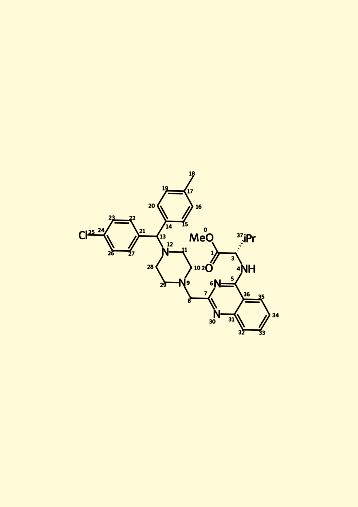 COC(=O)[C@@H](Nc1nc(CN2CCN(C(c3ccc(C)cc3)c3ccc(Cl)cc3)CC2)nc2ccccc12)C(C)C